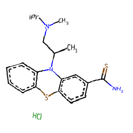 CC(C)N(C)CC(C)N1c2ccccc2Sc2ccc(C(N)=S)cc21.Cl